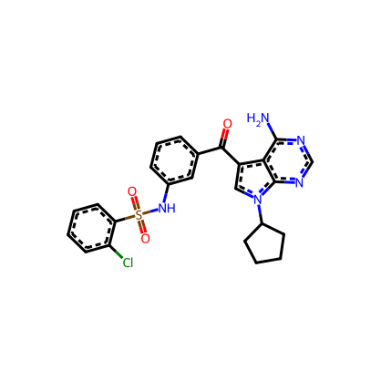 Nc1ncnc2c1c(C(=O)c1cccc(NS(=O)(=O)c3ccccc3Cl)c1)cn2C1CCCC1